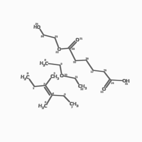 CC/C(C)=C(\C)CC.CCOCC.O=C(O)CCCCC(=O)OCCO